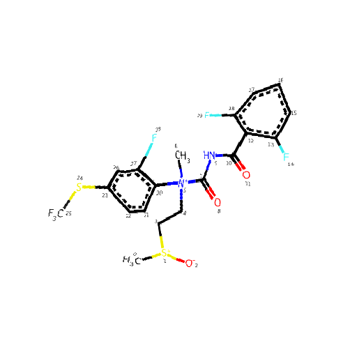 C[S+]([O-])CC[N+](C)(C(=O)NC(=O)c1c(F)cccc1F)c1ccc(SC(F)(F)F)cc1F